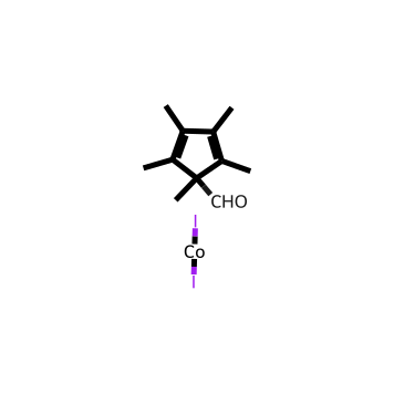 CC1=C(C)C(C)(C=O)C(C)=C1C.[I][Co][I]